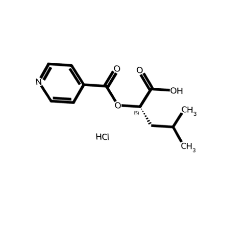 CC(C)C[C@H](OC(=O)c1ccncc1)C(=O)O.Cl